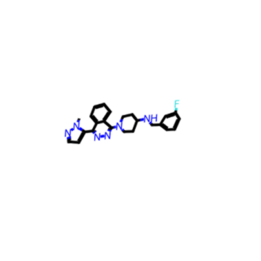 Cn1nccc1-c1nnc(N2CCC(NCc3cccc(F)c3)CC2)c2ccccc12